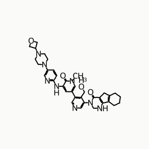 Cn1cc(-c2cncc(N3CNC4=C(CC5=C4CCCC5)C3=O)c2CO)cc(Nc2ccc(N3CCN(C4COC4)CC3)cn2)c1=O